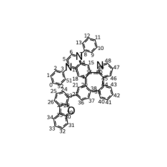 c1ccc(-n2ccn(-c3ccccc3)c3cc4c(cc32)c2cc(-c3cccc5c3oc3ccccc35)ccc2c2ccccc2c2cccnc24)cc1